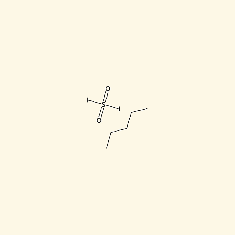 CCCCC.O=S(=O)(I)I